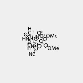 COc1ccc(C(OC[C@@]2(CNC(=O)C(F)(F)F)O[C@@H](n3cc(C)c(=O)[nH]c3=O)C[C@@H]2OP(OCCC#N)N(C(C)C)C(C)C)(c2ccccc2)c2ccc(OC)cc2)cc1